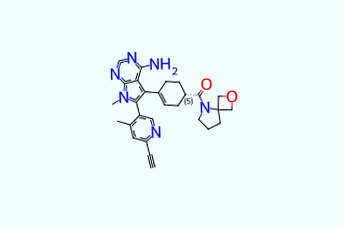 C#Cc1cc(C)c(-c2c(C3=CC[C@@H](C(=O)N4CCCC45COC5)CC3)c3c(N)ncnc3n2C)cn1